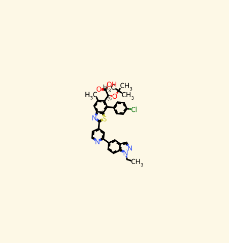 CCn1ncc2cc(-c3cc(-c4nc5cc(C)c([C@H](OC(C)(C)C)C(=O)O)c(-c6ccc(Cl)cc6)c5s4)ccn3)ccc21